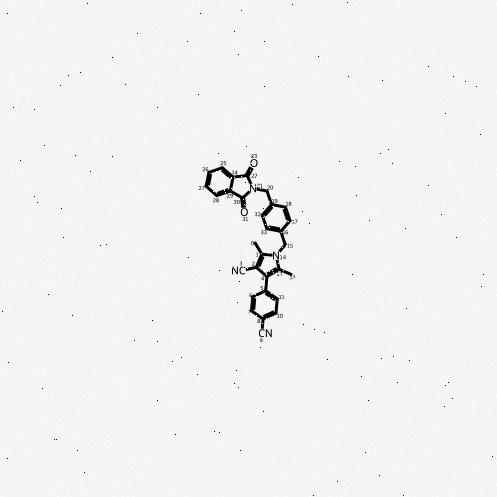 Cc1c(C#N)c(-c2ccc(C#N)cc2)c(C)n1Cc1ccc(CN2C(=O)c3ccccc3C2=O)cc1